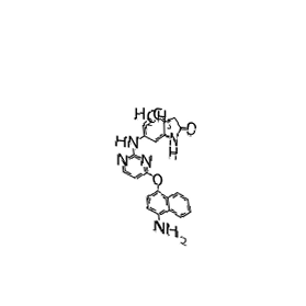 C=C1CC(=O)N/C1=C/C(=C\C)Nc1nccc(Oc2ccc(N)c3ccccc23)n1